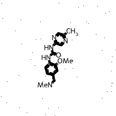 CNCc1ccc(NC(=O)Nc2cnc(C)cn2)c(OC)c1